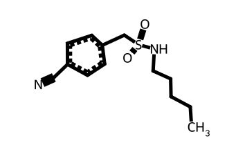 CCCCCNS(=O)(=O)Cc1ccc(C#N)cc1